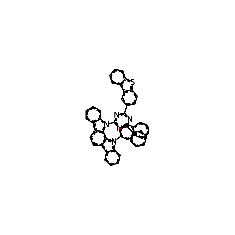 c1ccc(-c2nc(-c3ccc4sc5ccccc5c4c3)nc(-n3c4ccccc4c4ccc5c6ccccc6n(-c6ccc7ccccc7c6)c5c43)n2)cc1